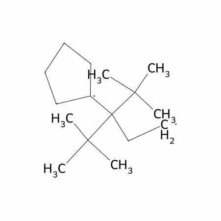 [CH2]CC([C]1CCCC1)(C(C)(C)C)C(C)(C)C